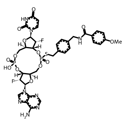 COc1ccc(C(=O)NCc2ccc(CSP3(=O)OC[C@H]4O[C@@H](n5cnc6c(N)ncnc65)[C@H](F)[C@@H]4OP(=O)(O)OC[C@H]4O[C@@H](n5ccc(=O)[nH]c5=O)[C@H](F)[C@@H]4O3)cc2)cc1